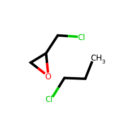 CCCCl.ClCC1CO1